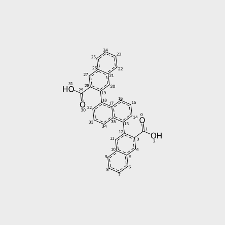 O=C(O)c1cc2ccccc2cc1-c1cccc2c(-c3cc4ccccc4cc3C(=O)O)cccc12